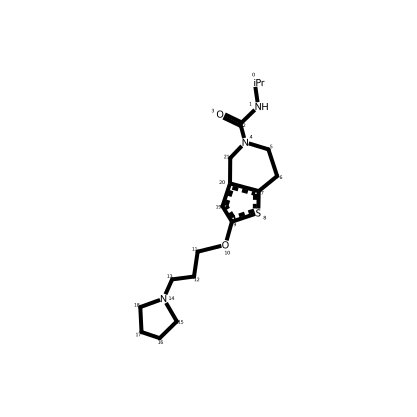 CC(C)NC(=O)N1CCc2sc(OCCCN3CCCC3)cc2C1